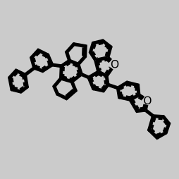 C1=Cc2c(c(-c3cccc(-c4ccccc4)c3)c3c(c2-c2ccc(-c4ccc5oc(-c6ccccc6)cc5c4)c4oc5ccccc5c24)C=CCC3)CC1